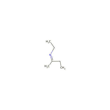 CCN=C(C)CC